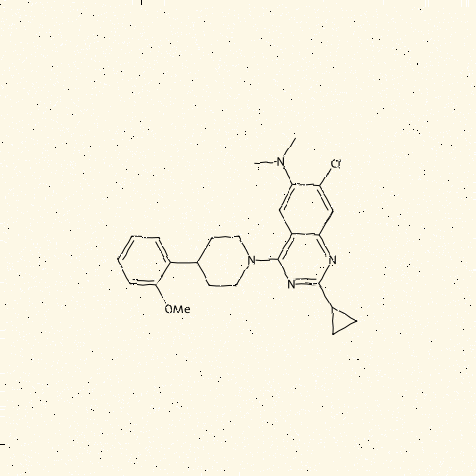 COc1ccccc1C1CCN(c2nc(C3CC3)nc3cc(Cl)c(N(C)C)cc23)CC1